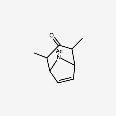 CC(=O)N1C2C=CC1C(C)C(=O)C2C